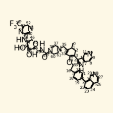 CC1CC(c2c[nH]c3ccncc23)=C(OCCc2ccc(-c3cccc4ccncc34)cc2)C=C1CN1CCN(C(=O)NC[C@H]2OC[C@H](Nc3cncc(C(F)(F)F)n3)[C@@H](O)[C@H]2O)CC1